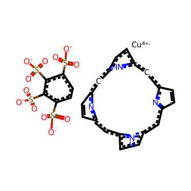 C1=Cc2cc3ccc(cc4nc(cc5ccc(cc1n2)[nH]5)C=C4)[nH]3.O=S(=O)([O-])c1ccc(S(=O)(=O)[O-])c(S(=O)(=O)[O-])c1S(=O)(=O)[O-].[Cu+4]